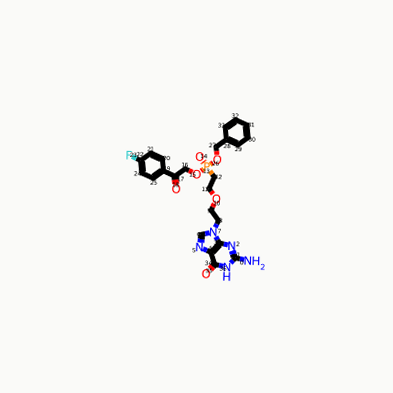 Nc1nc2c(ncn2CCOCCP(=O)(OCC(=O)c2ccc(F)cc2)OCc2ccccc2)c(=O)[nH]1